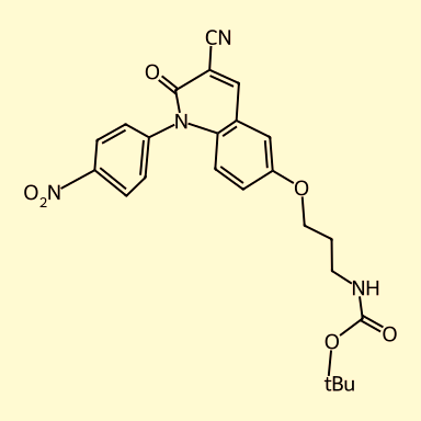 CC(C)(C)OC(=O)NCCCOc1ccc2c(c1)cc(C#N)c(=O)n2-c1ccc([N+](=O)[O-])cc1